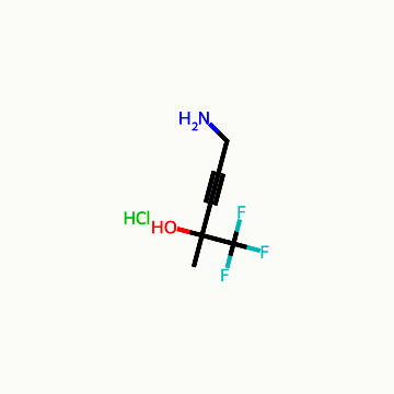 CC(O)(C#CCN)C(F)(F)F.Cl